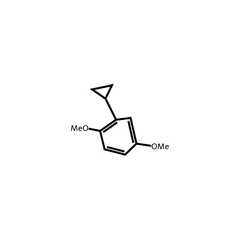 COc1ccc(OC)c([C]2CC2)c1